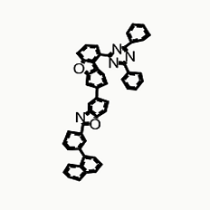 c1ccc(-c2nc(-c3ccccc3)nc(-c3cccc4oc5cc(-c6ccc7oc(-c8cccc(-c9cccc%10ccccc9%10)c8)nc7c6)ccc5c34)n2)cc1